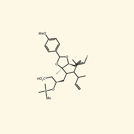 C=CC(C)C(/C(C)=C/I)C(C[C@H](CC(=O)O)O[Si](C)(C)C(C)(C)C)[C@@]1(C)OC(c2ccc(OC)cc2)O[C@H]1C=C